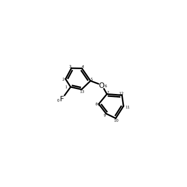 Fc1cccc(Oc2[c]cccc2)c1